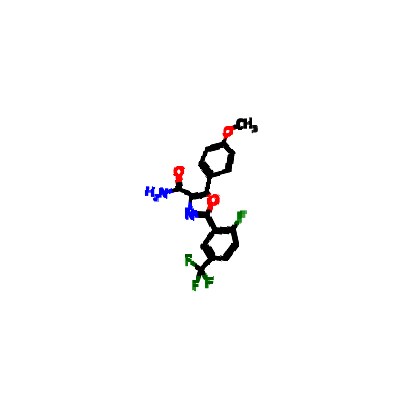 COc1ccc(-c2oc(-c3cc(C(F)(F)F)ccc3F)nc2C(N)=O)cc1